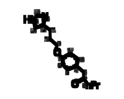 CCCC(=O)Cc1ccc(OCCCc2c[nH]cn2)cc1